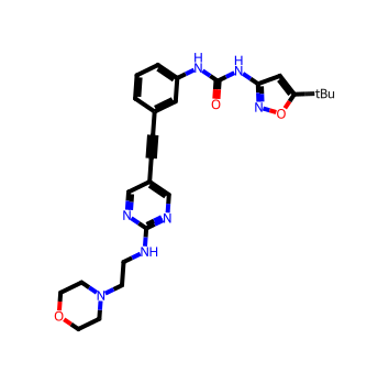 CC(C)(C)c1cc(NC(=O)Nc2cccc(C#Cc3cnc(NCCN4CCOCC4)nc3)c2)no1